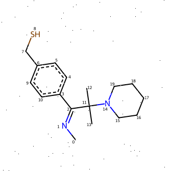 C/N=C(/c1ccc(CS)cc1)C(C)(C)N1CCCCC1